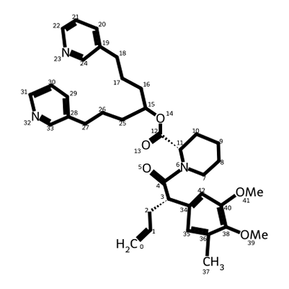 C=CC[C@H](C(=O)N1CCCC[C@H]1C(=O)OC(CCCc1cccnc1)CCCc1cccnc1)c1cc(C)c(OC)c(OC)c1